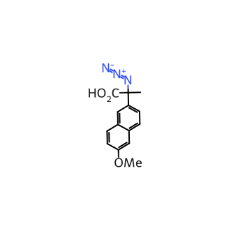 COc1ccc2cc(C(C)(N=[N+]=[N-])C(=O)O)ccc2c1